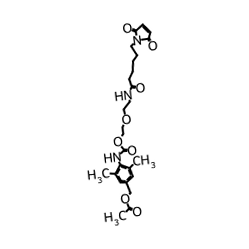 CC(=O)OCc1cc(C)c(NC(=O)OCCOCCNC(=O)CCCCCN2C(=O)C=CC2=O)c(C)c1